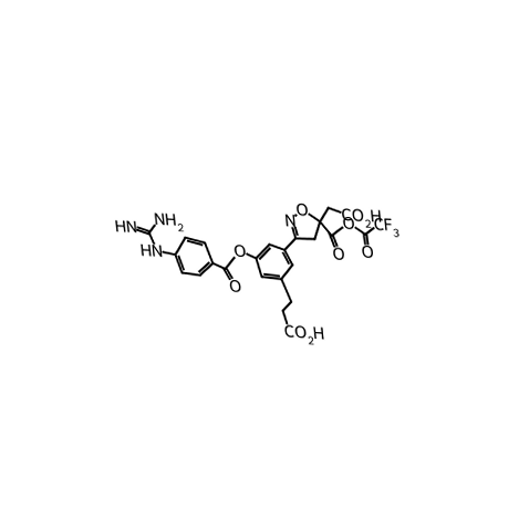 N=C(N)Nc1ccc(C(=O)Oc2cc(CCC(=O)O)cc(C3=NOC(CC(=O)O)(C(=O)OC(=O)C(F)(F)F)C3)c2)cc1